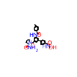 Cc1ccc(C(=O)Nc2cc(C(=O)N3CCC[C@H]3C(N)=O)cc(-c3ccc(C(=O)NO)cc3)c2)cc1